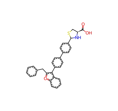 O=C(O)[C@@H]1CSC(c2ccc(-c3ccc(-c4c(Cc5ccccc5)oc5ccccc45)cc3)cc2)N1